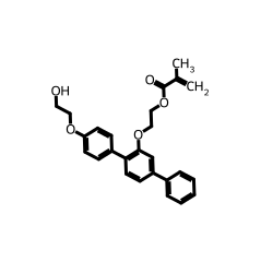 C=C(C)C(=O)OCCOc1cc(-c2ccccc2)ccc1-c1ccc(OCCO)cc1